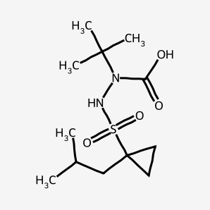 CC(C)CC1(S(=O)(=O)NN(C(=O)O)C(C)(C)C)CC1